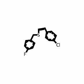 Fc1ccc(CS/C=C\c2ccc(Cl)cc2)cc1